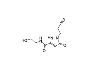 N#CCCn1[nH]c(C(=O)NCCO)cc1=O